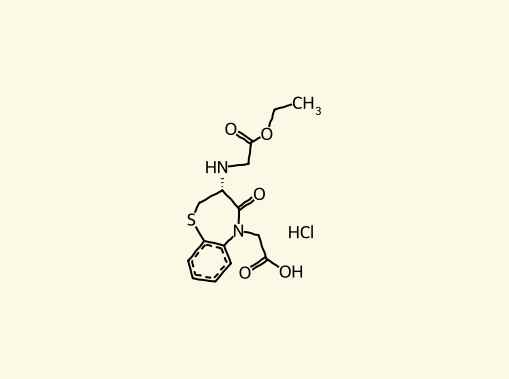 CCOC(=O)CN[C@H]1CSc2ccccc2N(CC(=O)O)C1=O.Cl